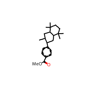 COC(=O)c1ccc(C2CC3C(CC2C)C(C)(C)CCC3(C)C)cc1